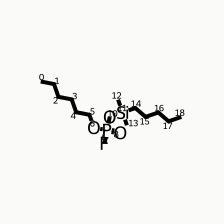 CCCCCCOP(=O)(F)O[Si](C)(C)CCCCC